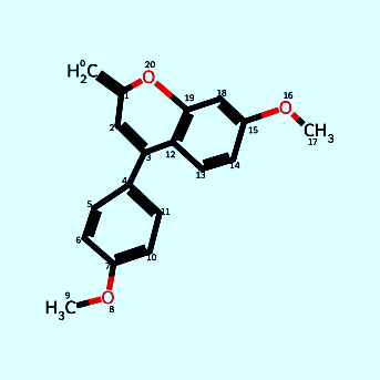 C=C1C=C(c2ccc(OC)cc2)c2ccc(OC)cc2O1